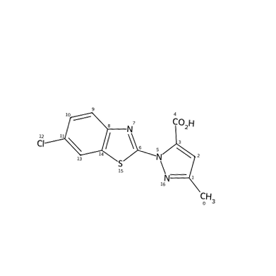 Cc1cc(C(=O)O)n(-c2nc3ccc(Cl)cc3s2)n1